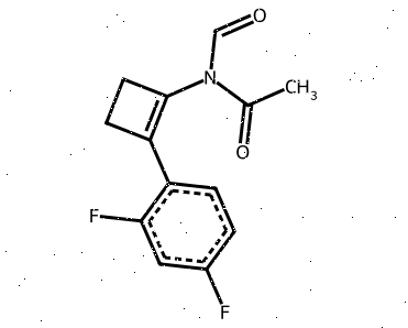 CC(=O)N(C=O)C1=C(c2ccc(F)cc2F)CC1